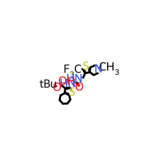 CN1CCc2c(sc(C(F)(F)F)c2CNC(=O)Nc2sc3c(c2C(O)OC(C)(C)C)CCCCC3)C1